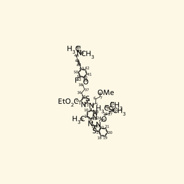 CCOC(=O)c1nc(N(CCCOC)c2cc(C)c(N=c3sc4ccccc4n3COCC[Si](C)(C)C)nn2)sc1CCCOc1ccc(C#CCN(C)C)cc1F